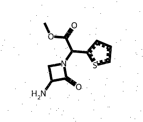 COC(=O)C(c1cccs1)N1CC(N)C1=O